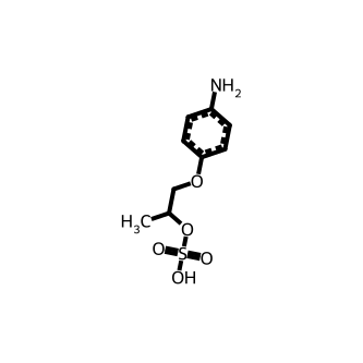 CC(COc1ccc(N)cc1)OS(=O)(=O)O